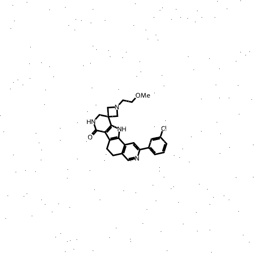 COCCN1CC2(CNC(=O)c3c2[nH]c2c3CCc3cnc(-c4cccc(Cl)c4)cc3-2)C1